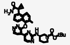 Cc1ccc2c(C3(C(N)=O)CC3)cccc2c1Oc1nnccc1-c1ccnc(N[C@H]2CCCN(C(=O)OC(C)(C)C)C2)n1